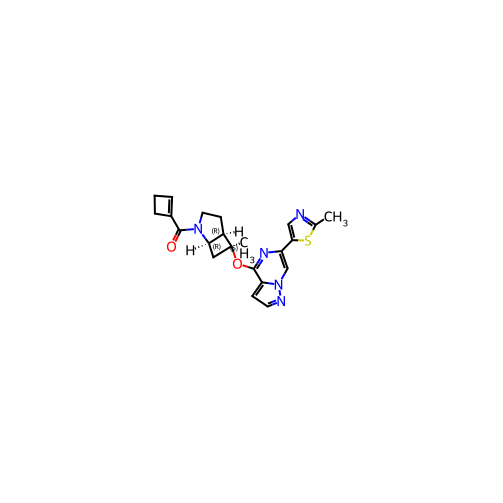 Cc1ncc(-c2cn3nccc3c(O[C@@]3(C)C[C@@H]4[C@H]3CCN4C(=O)C3=CCC3)n2)s1